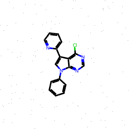 Clc1ncnc2c1c(-c1ccccn1)cn2-c1ccccc1